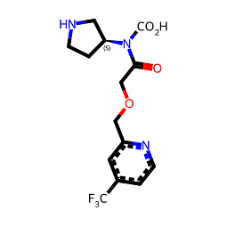 O=C(O)N(C(=O)COCc1cc(C(F)(F)F)ccn1)[C@H]1CCNC1